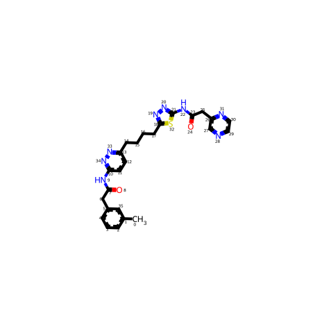 Cc1cccc(CC(=O)Nc2ccc(CCCCc3nnc(NC(=O)Cc4cnccn4)s3)nn2)c1